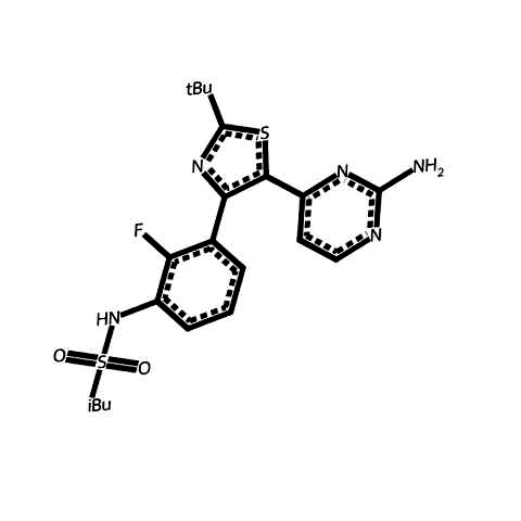 CCC(C)S(=O)(=O)Nc1cccc(-c2nc(C(C)(C)C)sc2-c2ccnc(N)n2)c1F